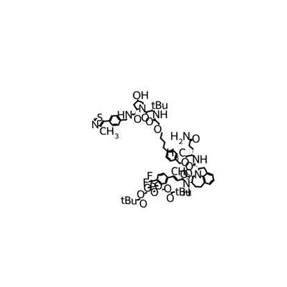 C/C(=C\C(=O)N[C@H]1CCc2cccc3c2N(C1=O)[C@H](C(=O)N[C@@H](CCC(N)=O)[C@@H](C)OCc1ccc(CCCCOCC(=O)N[C@H](C(=O)N2C[C@@H](O)C[C@H]2C(=O)NCc2ccc(-c4scnc4C)cc2)C(C)(C)C)cc1)C3)c1ccc(C(F)(F)P(=O)(OCOC(=O)C(C)(C)C)OCOC(=O)C(C)(C)C)cc1